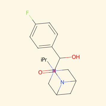 CC(C)N1CC2CC(C1)N2C(=O)C(O)c1ccc(F)cc1